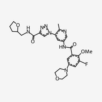 COc1c(F)cc(N2CCOCC2)cc1C(=O)Nc1cnc(C)c(-n2cc(C(=O)NCC3CCCO3)nn2)c1